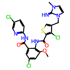 COc1cc(Cl)cc(C(=O)Nc2ccc(Cl)cn2)c1NC(=O)c1scc(Cn2ccn(C)c2=N)c1Cl